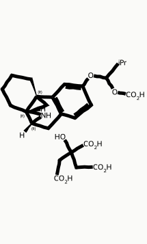 CC(C)C(OC(=O)O)Oc1ccc2c(c1)[C@@]13CCCC[C@H]1[C@@H](C2)NCC3.O=C(O)CC(O)(CC(=O)O)C(=O)O